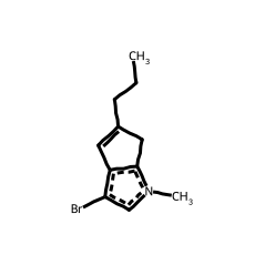 CCCC1=Cc2c(Br)cn(C)c2C1